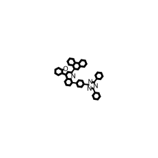 c1ccc(-c2nc(-c3ccccc3)nc(-c3ccc(-c4cccc5c4nc(-c4cc6ccccc6c6ccccc46)c4oc6ccccc6c45)cc3)n2)cc1